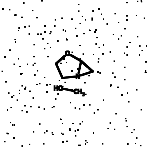 C1CN2CC2O1.CO